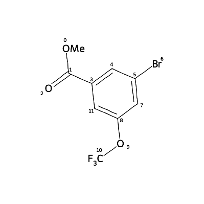 COC(=O)c1cc(Br)cc(OC(F)(F)F)c1